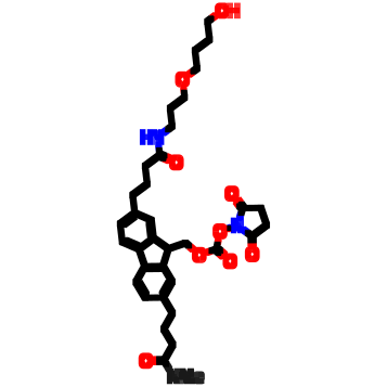 CNC(=O)CCCc1ccc2c(c1)C(COC(=O)ON1C(=O)CCC1=O)c1cc(CCCC(=O)NCCCOCCCCO)ccc1-2